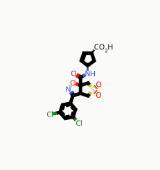 O=C(O)[C@@H]1C=C[C@H](NC(=O)C23CS(=O)(=O)CC2C(c2cc(Cl)cc(Cl)c2)=NO3)C1